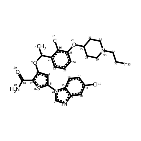 CC(Oc1cc(-n2cnc3cc(Cl)ccc32)sc1C(N)=O)c1cccc(OC2CCN(CCF)CC2)c1Cl